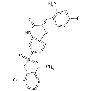 CCc1cccc(Cl)c1CS(=O)(=O)c1ccc2c(c1)NC(=O)/C(=C/c1ccc(F)cc1P)S2